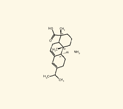 CC(C)C1=CC2=CCC3[C@](C)(C(=O)O)CCC[C@]3(C)[C@H]2CC1.N